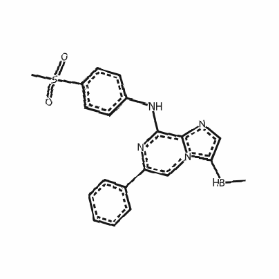 CBc1cnc2c(Nc3ccc(S(C)(=O)=O)cc3)nc(-c3ccccc3)cn12